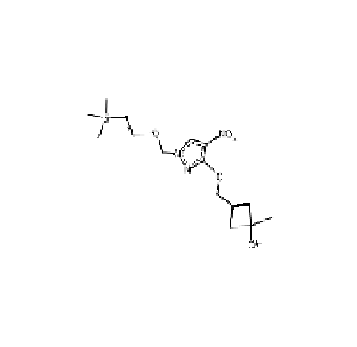 CC1(O)CC(COc2nn(COCC[Si](C)(C)C)cc2[N+](=O)[O-])C1